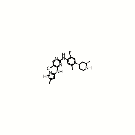 Cc1cc(Nc2nc(Nc3cc(C)c([C@@H]4CCN[C@H](C)C4)cc3F)ncc2Cl)n[nH]1